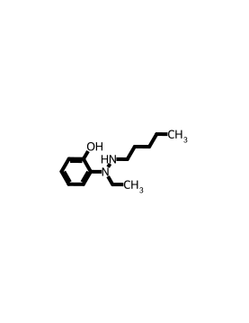 CCCCCNN(CC)c1ccccc1O